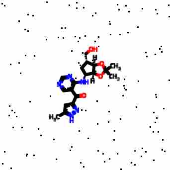 Cc1cc(C(=O)c2cncnc2N[C@@H]2C[C@H](CO)[C@H]3OC(C)(C)O[C@H]32)n[nH]1